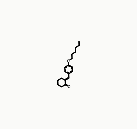 CCCCCCOc1ccc(C=C2CCCCC2=O)cc1